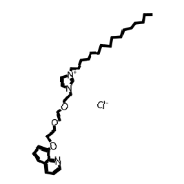 CCCCCCCCCCCCCCCC[n+]1ccn(CCOCCOCCOc2cccc3cccnc23)c1.[Cl-]